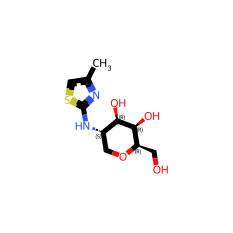 Cc1csc(N[C@H]2CO[C@H](CO)[C@H](O)[C@@H]2O)n1